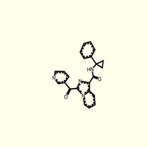 O=C(NC1(c2ccccc2)CC1)c1nc(C(=O)c2cccnc2)n2ccccc12